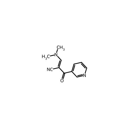 CN(C)C=C(C#N)C(=O)c1cccnc1